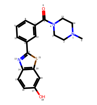 CN1CCN(C(=O)c2cccc(-c3nc4ccc(O)cc4s3)c2)CC1